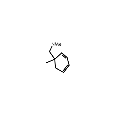 CNCC1(C)C=CC=CC1